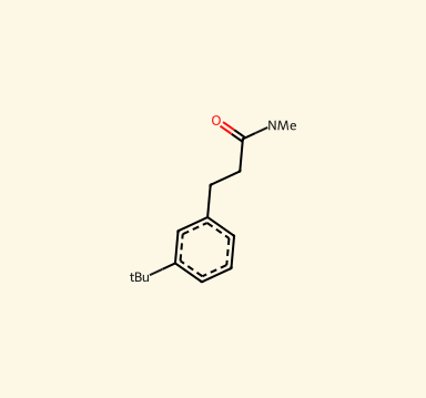 CNC(=O)CCc1cccc(C(C)(C)C)c1